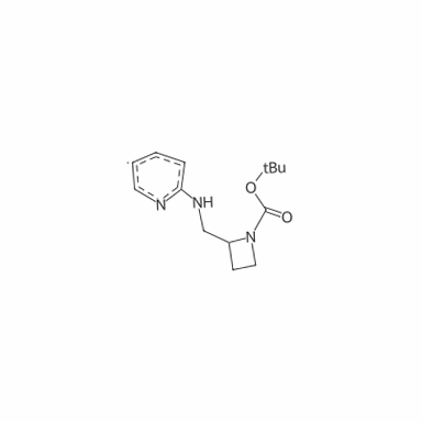 CC(C)(C)OC(=O)N1CCC1CNc1cc[c]cn1